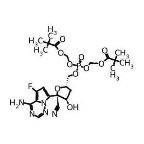 CC(C)(C)C(=O)OCOP(=O)(OCOC(=O)C(C)(C)C)OC[C@@H]1C[C@@H](O)[C@](C#N)(c2cc(F)c3c(N)ncnn23)O1